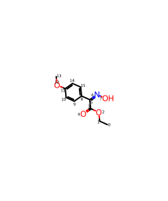 CCOC(=O)C(=NO)c1ccc(OC)cc1